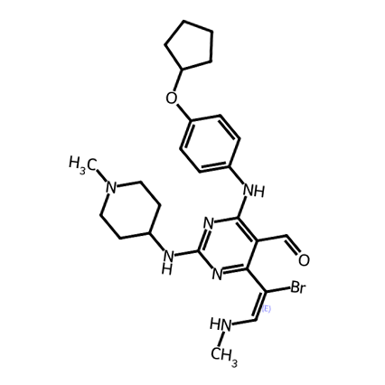 CN/C=C(/Br)c1nc(NC2CCN(C)CC2)nc(Nc2ccc(OC3CCCC3)cc2)c1C=O